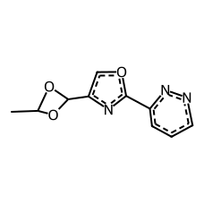 CC1OC(c2coc(-c3cccnn3)n2)O1